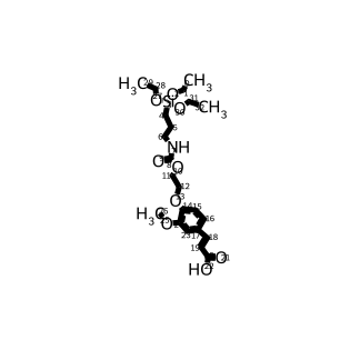 CCO[Si](CCCNC(=O)OCCOc1ccc(/C=C/C(=O)O)cc1OC)(OCC)OCC